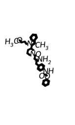 COCCCn1c(C2CCCN(C(=O)C[C@H](N)Cc3ccc(NC(=O)Oc4ccccc4)cc3)C2)c(C)c2ccccc21